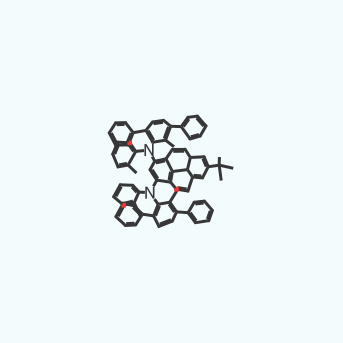 Cc1ccccc1N(c1cc(N(c2ccccc2C)c2c(-c3ccccc3)ccc(-c3ccccc3)c2C)c2c3c1C=CC1=CC(C(C)(C)C)=CC(C=C2)C13)c1c(-c2ccccc2)ccc(-c2ccccc2)c1C